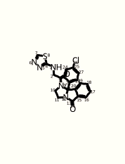 O=C(CNc1nncs1)N1CCN2C(=O)c3ccccc3C12c1ccc(Cl)cc1